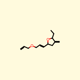 C=CCOC/C=C/C1CC(=C)C(CC)O1